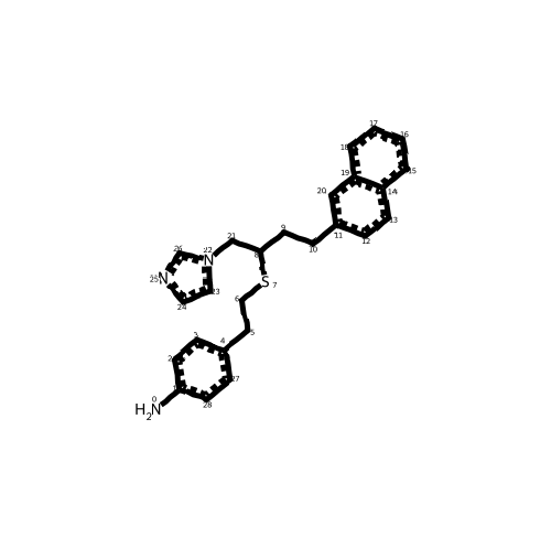 Nc1ccc(CCSC(CCc2ccc3ccccc3c2)Cn2ccnc2)cc1